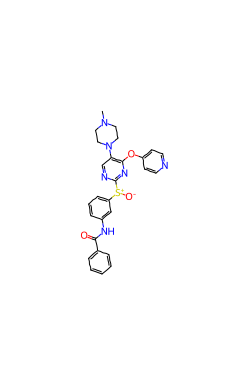 CN1CCN(c2cnc([S+]([O-])c3cccc(NC(=O)c4ccccc4)c3)nc2Oc2ccncc2)CC1